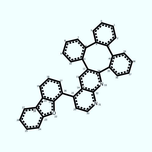 c1ccc2c(c1)-c1ccccc1-c1cc3c(-c4cccc5c4oc4ccccc45)ccnc3nc1-c1ccccc1-2